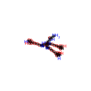 CC(=O)N[C@H]1[C@H]2OC[C@](COCCOCCOCCOCCn3cc(COCC(COCc4cn(CCOCCOCCOCCOC[C@@]56CO[C@@H](O5)[C@H](NC(C)=O)[C@@H](O)[C@H]6O)nn4)(COCc4cn(CCOCCOCCOCCOC[C@]56CO[C@H](C[C@@H](O)[C@H]5O)O6)nn4)NC(=O)CCCCCNC(=O)CCCCCN)nn3)(O2)[C@H](O)[C@@H]1O